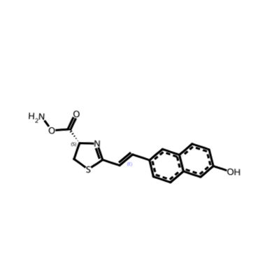 NOC(=O)[C@H]1CSC(/C=C/c2ccc3cc(O)ccc3c2)=N1